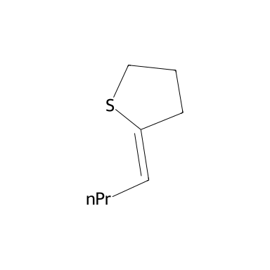 CCC/C=C1/CCCS1